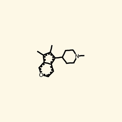 Cc1c2coccc-2c(C2CCN(C)CC2)c1C